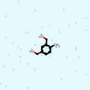 [CH2]c1ccc(CO)cc1CO